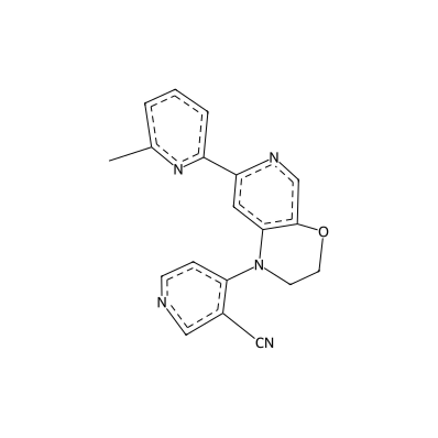 Cc1cccc(-c2cc3c(cn2)OCCN3c2ccncc2C#N)n1